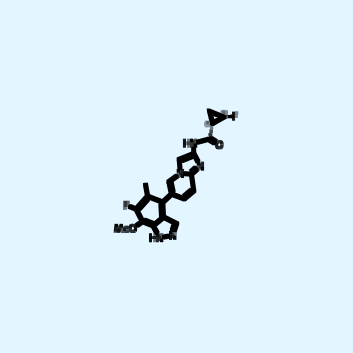 COc1c(F)c(C)c(-c2ccc3nc(NC(=O)[C@@H]4C[C@@H]4F)cn3c2)c2cn[nH]c12